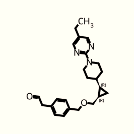 CCc1cnc(N2CCC([C@H]3C[C@H]3COCc3ccc(CC=O)cc3)CC2)nc1